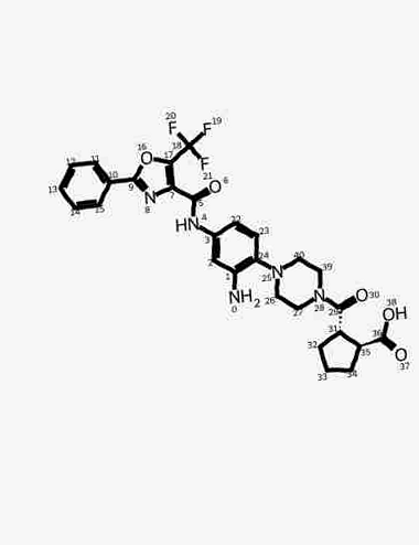 Nc1cc(NC(=O)c2nc(-c3ccccc3)oc2C(F)(F)F)ccc1N1CCN(C(=O)[C@H]2CCC[C@@H]2C(=O)O)CC1